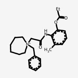 CCC(=O)Oc1cccc(C)c1NC(=O)C[N+]1(Cc2ccccc2)CCCCCC1